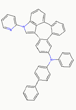 c1ccc(-c2ccc(N(c3ccccc3)c3ccc4c(c3)-c3ccccc3-c3cccc5c3c-4cn5-c3ccccn3)cc2)cc1